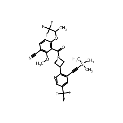 COc1c(C#N)ccc(OC(C)C(F)(F)F)c1C(=O)N1CC(c2ncc(C(F)(F)F)cc2C#C[Si](C)(C)C)C1